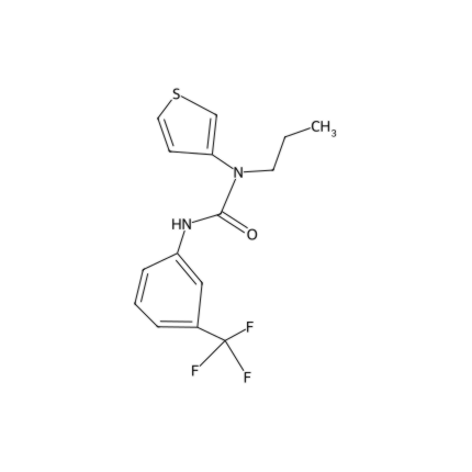 CCCN(C(=O)Nc1cccc(C(F)(F)F)c1)c1ccsc1